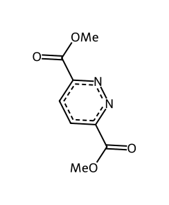 COC(=O)c1ccc(C(=O)OC)nn1